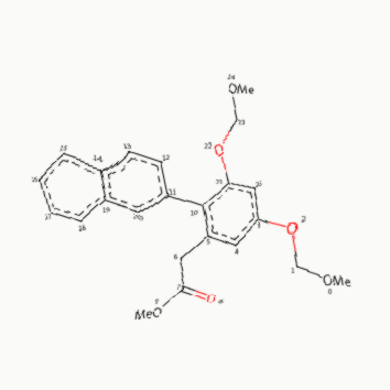 COCOc1cc(CC(=O)OC)c(-c2ccc3ccccc3c2)c(OCOC)c1